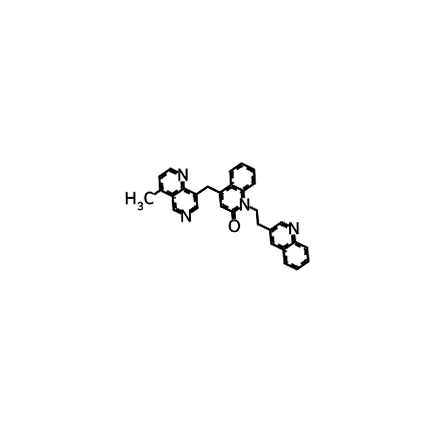 Cc1ccnc2c(Cc3cc(=O)n(CCc4cnc5ccccc5c4)c4ccccc34)cncc12